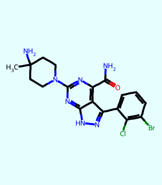 CC1(N)CCN(c2nc(C(N)=O)c3c(-c4cccc(Br)c4Cl)n[nH]c3n2)CC1